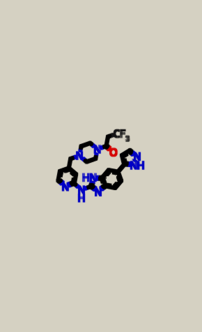 O=C(CC(F)(F)F)N1CCN(Cc2ccnc(Nc3nc4ccc(-c5ccn[nH]5)cc4[nH]3)c2)CC1